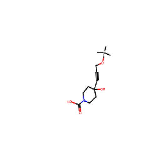 C[Si](C)(C)OCC#CC1(O)CCN(C(=O)O)CC1